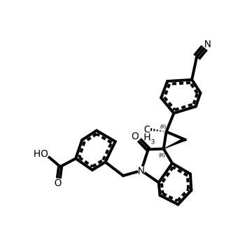 C[C@]1(c2ccc(C#N)cc2)C[C@@]12C(=O)N(Cc1cccc(C(=O)O)c1)c1ccccc12